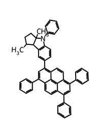 CC1CCC2(C)C1c1cc(-c3cc(-c4ccccc4)c4ccc5c(-c6ccccc6)cc(-c6ccccc6)c6ccc3c4c56)ccc1N2c1ccccc1